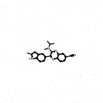 Cc1cc2cc(-c3nc4ccc(C#N)cc4nc3N(C)C(C)C)ccc2[nH]1